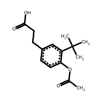 CC(=O)Oc1ccc(CCC(=O)O)cc1C(C)(C)C